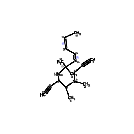 C#CCN(C)C(C)C(C#C)NC(C)(C)/N=C\C=C/C